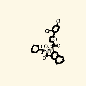 C[C@@](NC(=O)c1cc2ccccc2cc1NC(=O)c1ccc(-c2ccc(Cl)cc2Cl)o1)(C(=O)O)C1CCCCC1